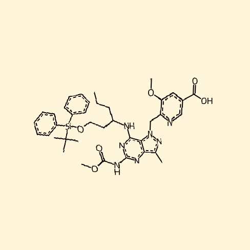 CCCC(CCO[Si](c1ccccc1)(c1ccccc1)C(C)(C)C)Nc1nc(NC(=O)OC)nc2c(C)nn(Cc3ncc(C(=O)O)cc3OC)c12